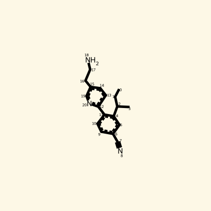 CCC(C)c1cc(C#N)ccc1-c1ccc(CCN)cn1